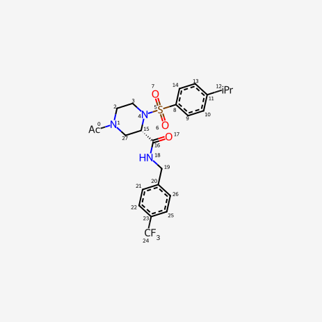 CC(=O)N1CCN(S(=O)(=O)c2ccc(C(C)C)cc2)[C@H](C(=O)NCc2ccc(C(F)(F)F)cc2)C1